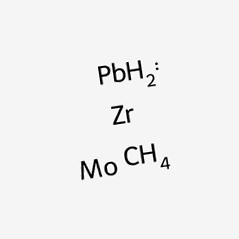 C.[Mo].[PbH2].[Zr]